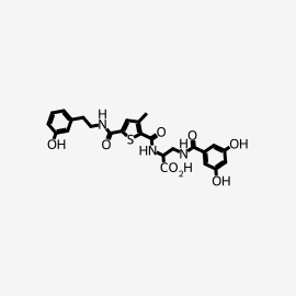 Cc1cc(C(=O)NCCc2cccc(O)c2)sc1C(=O)NC(CNC(=O)c1cc(O)cc(O)c1)C(=O)O